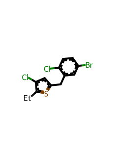 CCc1sc(Cc2cc(Br)ccc2Cl)cc1Cl